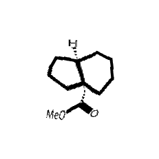 COC(=O)[C@@]12CCCC[C@@H]1CCC2